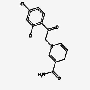 NC(=O)C1=CN(CC(=O)c2ccc(Cl)cc2Cl)C=CC1